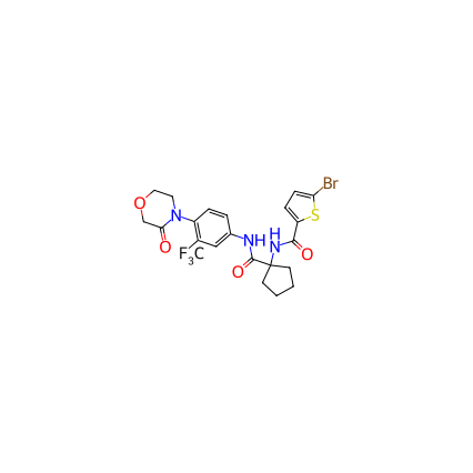 O=C(NC1(C(=O)Nc2ccc(N3CCOCC3=O)c(C(F)(F)F)c2)CCCC1)c1ccc(Br)s1